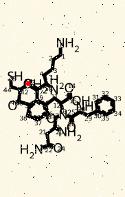 NCCCCC(N)C(=O)c1c(CC(C(=O)O)N(C(=O)C(N)CC(N)=O)C(=O)C(N)Cc2ccccc2)cccc1C(=O)C(N)CS